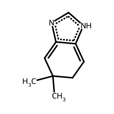 CC1(C)C=c2nc[nH]c2=CC1